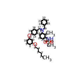 CCCCCCOc1cccc(Oc2ccc(CN(Cc3ccccc3)c3cccc(NS(C)(=O)=O)c3C)cc2)c1